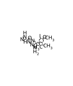 COc1cc(C(C)C)c(Oc2cnc(NC(=O)c3cnc[nH]3)nc2N)cc1I